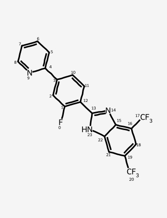 Fc1cc(-c2ccccn2)ccc1-c1nc2c(C(F)(F)F)cc(C(F)(F)F)cc2[nH]1